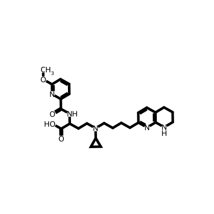 COc1cccc(C(=O)NC(CCN(CCCCc2ccc3c(n2)NCCC3)C2CC2)C(=O)O)n1